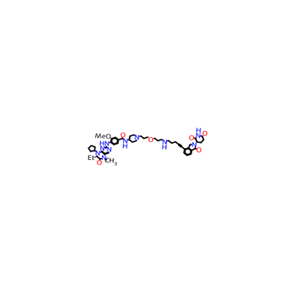 CC[C@@H]1C(=O)N(C)c2cnc(Nc3ccc(C(=O)NC4CCN(CCCOCCCNCCCC#Cc5cccc6c5CN(C5CCC(=O)NC5=O)C6=O)CC4)cc3OC)nc2N1C1CCCC1